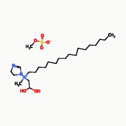 CCCCCCCCCCCCCCCCC[N+](C)(CC(O)O)N1C=NCC1.COS(=O)(=O)[O-]